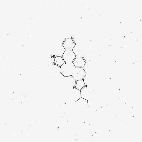 CCCc1nc(C(C)CC)nn1Cc1ccc(-c2cnccc2-c2nnn[nH]2)cc1